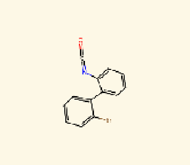 O=C=Nc1ccccc1-c1ccccc1Br